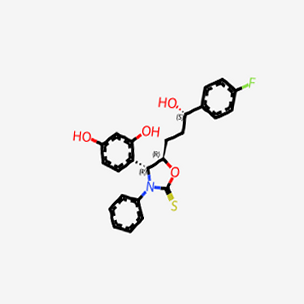 Oc1ccc([C@@H]2[C@@H](CC[C@H](O)c3ccc(F)cc3)OC(=S)N2c2ccccc2)c(O)c1